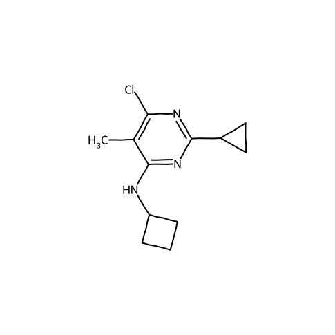 Cc1c(Cl)nc(C2CC2)nc1NC1CCC1